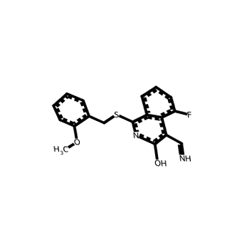 COc1ccccc1CSc1nc(O)c(C=N)c2c(F)cccc12